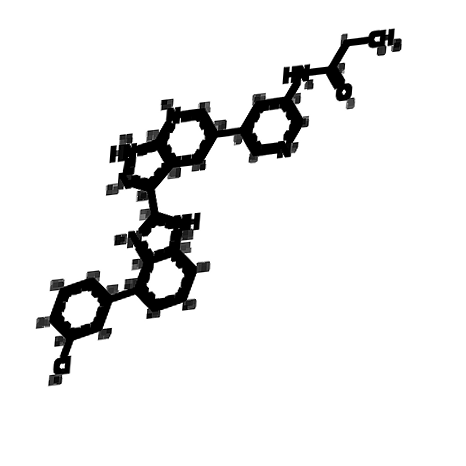 CCC(=O)Nc1cncc(-c2cnc3[nH]nc(-c4nc5c(-c6cccc(Cl)c6)cccc5[nH]4)c3c2)c1